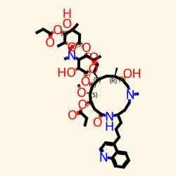 CCC(=O)O[C@@H]1C(C)O[C@@H](O[C@@H]2C(C)O[C@@H](O[C@H]3[C@@H](CC=O)C[C@@H](C)[C@@H](O)CN(C)CCC(CCCc4ccnc5ccccc45)NC(=O)C[C@@H](OC(=O)CC)[C@@H]3OC)C(O)C2N(C)C)CC1(C)O